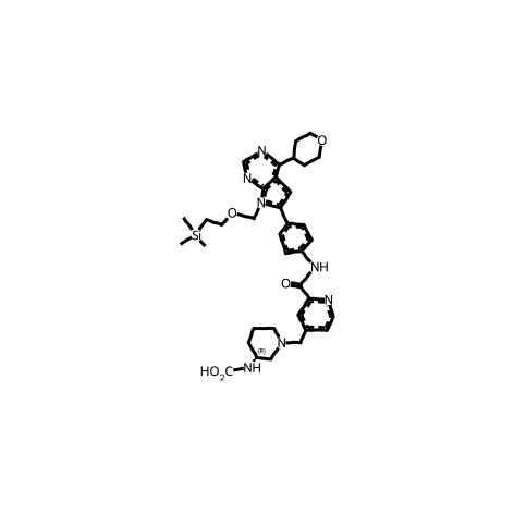 C[Si](C)(C)CCOCn1c(-c2ccc(NC(=O)c3cc(CN4CCC[C@@H](NC(=O)O)C4)ccn3)cc2)cc2c(C3CCOCC3)ncnc21